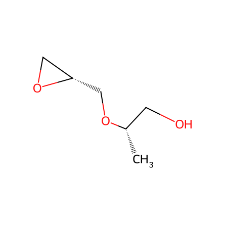 C[C@@H](CO)OC[C@H]1CO1